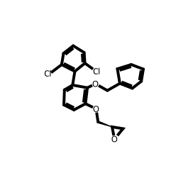 Clc1cccc(Cl)c1-c1cccc(OC[C@H]2CO2)c1OCc1ccccc1